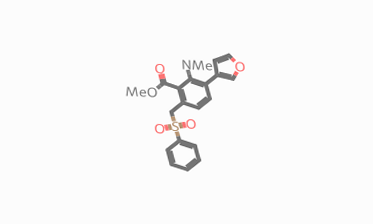 CNc1c(-c2ccoc2)ccc(CS(=O)(=O)c2ccccc2)c1C(=O)OC